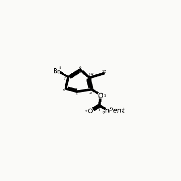 CCCCCC(=O)Oc1ccc(Br)cc1C